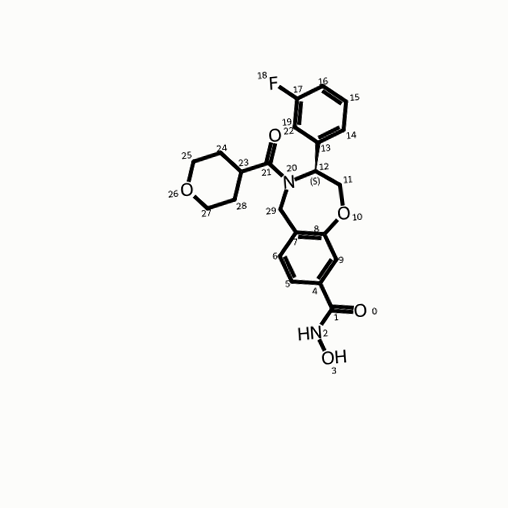 O=C(NO)c1ccc2c(c1)OC[C@H](c1cccc(F)c1)N(C(=O)C1CCOCC1)C2